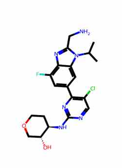 CC(C)n1c(CN)nc2c(F)cc(-c3nc(N[C@@H]4CCOC[C@H]4O)ncc3Cl)cc21